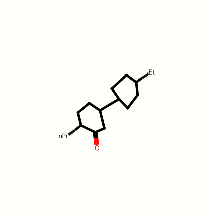 CCCC1CCC(C2CCC(CC)CC2)CC1=O